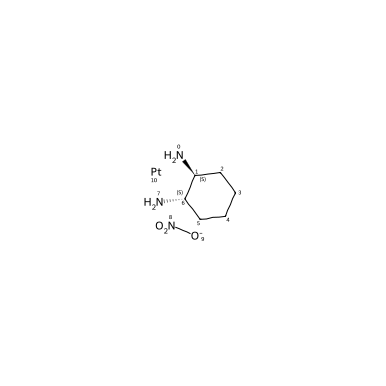 N[C@H]1CCCC[C@@H]1N.O=[N+]([O-])[O-].[Pt]